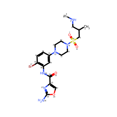 CC(CNC(C)C)CS(=O)(=O)N1CCN(c2ccc(Br)c(NC(=O)c3coc(N)n3)c2)CC1